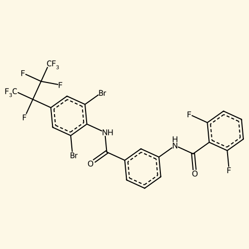 O=C(Nc1c(Br)cc(C(F)(C(F)(F)F)C(F)(F)C(F)(F)F)cc1Br)c1cccc(NC(=O)c2c(F)cccc2F)c1